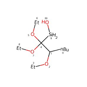 CCCCC(OCC)C(OCC)(OCC)[SiH2]O